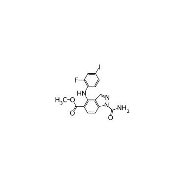 COC(=O)c1ccc2c(cnn2C(N)=O)c1Nc1ccc(I)cc1F